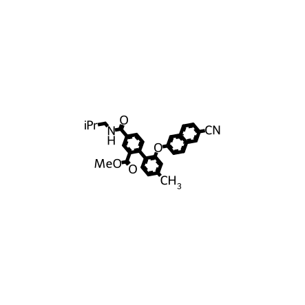 COC(=O)c1cc(C(=O)NCC(C)C)ccc1-c1ccc(C)cc1Oc1ccc2cc(C#N)ccc2c1